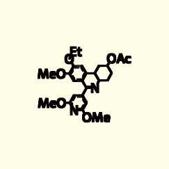 CCOc1cc2c(cc1OC)C(c1cc(OC)nc(OC)c1)=NC1CCC(OC(C)=O)CC21